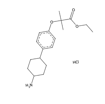 CCOC(=O)C(C)(C)Oc1ccc(C2CCC(N)CC2)cc1.Cl